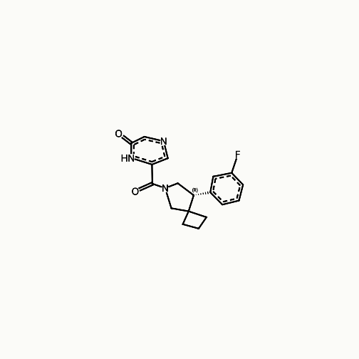 O=C(c1cncc(=O)[nH]1)N1C[C@H](c2cccc(F)c2)C2(CCC2)C1